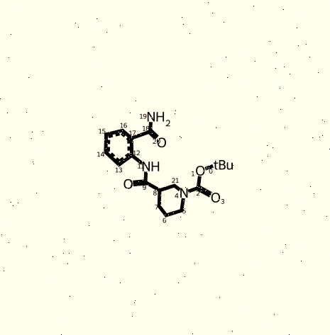 CC(C)(C)OC(=O)N1CCCC(C(=O)Nc2ccccc2C(N)=O)C1